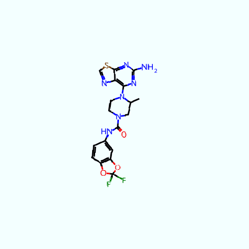 CC1CN(C(=O)Nc2ccc3c(c2)OC(F)(F)O3)CCN1c1nc(N)nc2scnc12